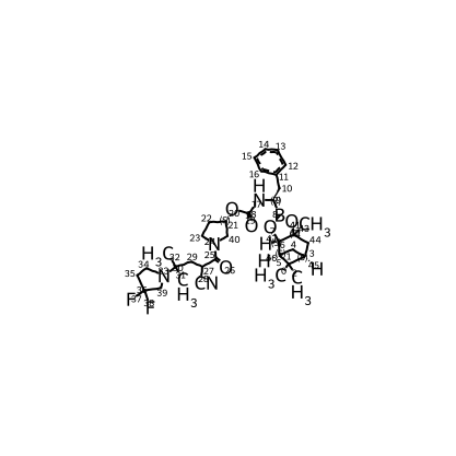 CC1(C)[C@H]2C[C@@H]1[C@@H]1OB([C@H](Cc3ccccc3)NC(=O)O[C@H]3CCN(C(=O)C(C#N)CC(C)(C)N4CCC(F)(F)C4)C3)O[C@]1(C)C2